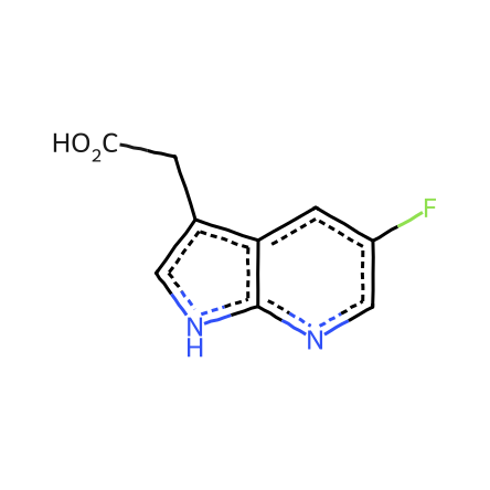 O=C(O)Cc1c[nH]c2ncc(F)cc12